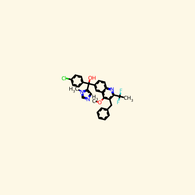 COc1c(Cc2ccccc2)c(C(C)(F)F)nc2ccc(C(O)(c3ccc(Cl)cc3)c3cncn3C)cc12